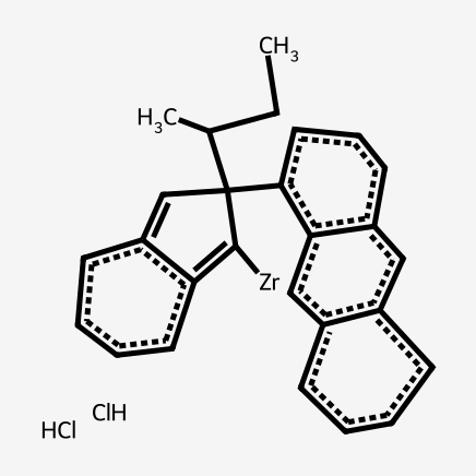 CCC(C)C1(c2cccc3cc4ccccc4cc23)C=c2ccccc2=[C]1[Zr].Cl.Cl